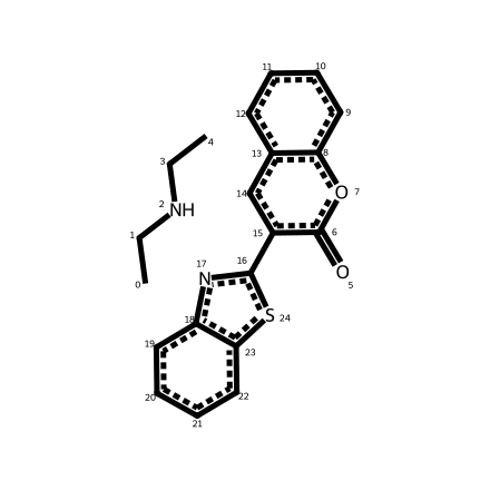 CCNCC.O=c1oc2ccccc2cc1-c1nc2ccccc2s1